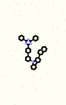 c1ccc(-c2nc(-c3ccccc3)nc(-c3ccc(-c4cccc(-n5c6ccccc6c6ccc(-c7ccc8ccccc8c7)cc65)c4)cc3)n2)cc1